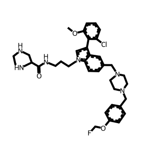 COc1cccc(Cl)c1-c1cn(CCCNC(=O)C2CNCCN2)c2ccc(CN3CCN(Cc4ccc(OCF)cc4)CC3)cc12